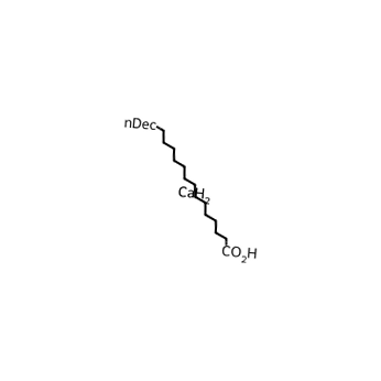 CCCCCCCCCCCCCCCCCCCCCCCC(=O)O.[CaH2]